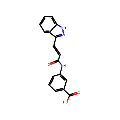 O=C(C=Cc1n[nH]c2ccccc12)Nc1cccc(C(=O)O)c1